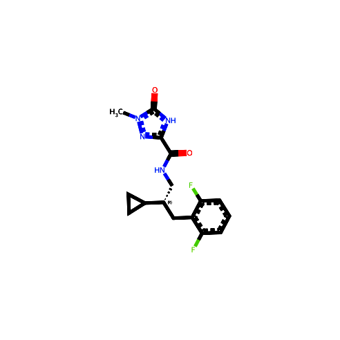 Cn1nc(C(=O)NC[C@H](Cc2c(F)cccc2F)C2CC2)[nH]c1=O